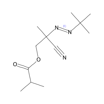 CC(C)C(=O)OCC(C)(C#N)/N=N/C(C)(C)C